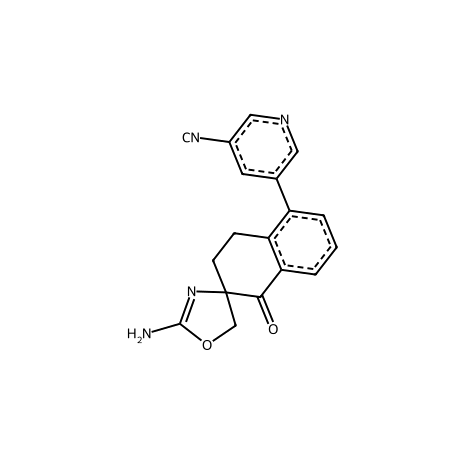 [C-]#[N+]c1cncc(-c2cccc3c2CCC2(COC(N)=N2)C3=O)c1